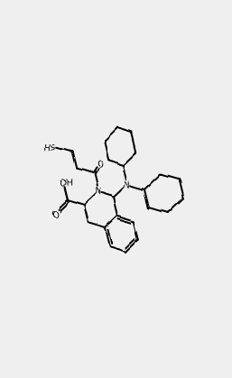 O=C(O)C1Cc2ccccc2C(N(C2CCCCC2)C2CCCCC2)N1C(=O)CCS